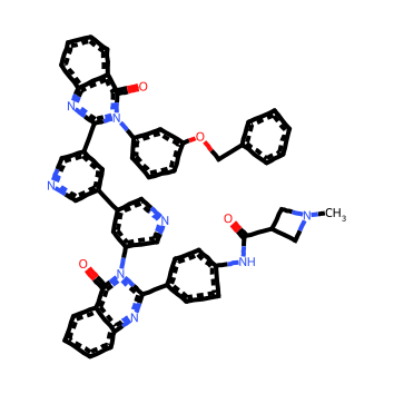 CN1CC(C(=O)Nc2ccc(-c3nc4ccccc4c(=O)n3-c3cncc(-c4cncc(-c5nc6ccccc6c(=O)n5-c5cccc(OCc6ccccc6)c5)c4)c3)cc2)C1